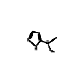 C[C@@H](c1ccn[nH]1)C(C)(C)C